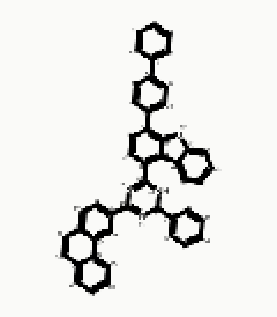 c1ccc(-c2ccc(-c3ccc(C4=NC(c5ccc6ccc7ccccc7c6c5)=NC(c5ccccc5)N4)c4c3oc3ccccc34)cc2)cc1